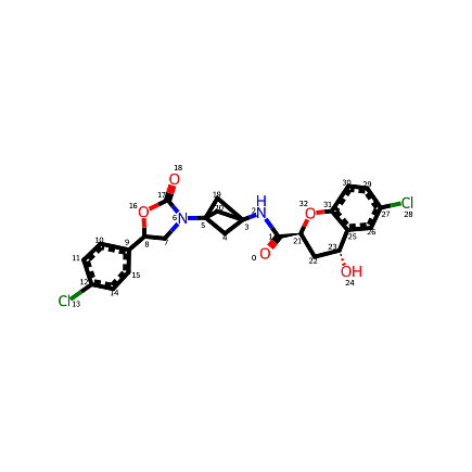 O=C(NC12CC(N3CC(c4ccc(Cl)cc4)OC3=O)(C1)C2)[C@@H]1C[C@@H](O)c2cc(Cl)ccc2O1